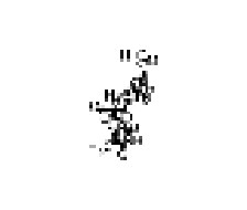 CC(=O)SCCOP(=O)(OC[C@H]1O[C@@H](n2cc(C)c(=O)[nH]c2=O)C2(C)OC(=O)O[C@@H]12)N(C)C